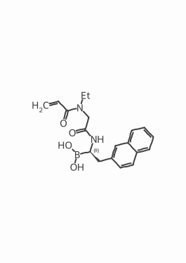 C=CC(=O)N(CC)CC(=O)N[C@@H](Cc1ccc2ccccc2c1)B(O)O